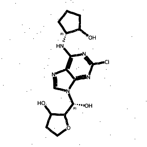 OC1CCOC1[C@@H](O)n1cnc2c(N[C@@H]3CCCC3O)nc(Cl)nc21